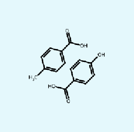 Cc1ccc(C(=O)O)cc1.O=C(O)c1ccc(O)cc1